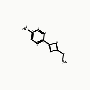 CC(C)(C)CC1CC(c2ccc(O)cc2)C1